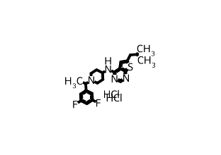 CC(C)Cc1cc2c(NC3CCN(C(C)c4cc(F)cc(F)c4)CC3)ncnc2s1.Cl.Cl